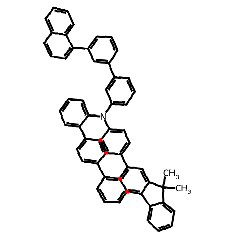 CC1(C)c2ccccc2-c2ccc(-c3ccc(N(c4cccc(-c5cccc(-c6cccc7ccccc67)c5)c4)c4ccccc4-c4ccc(-c5ccccc5)cc4)cc3)cc21